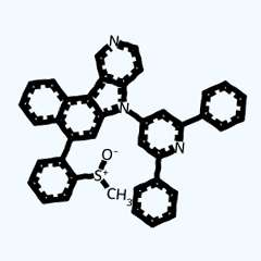 C[S+]([O-])c1ccccc1-c1cc2c(c3ccccc13)c1cnccc1n2-c1cc(-c2ccccc2)nc(-c2ccccc2)c1